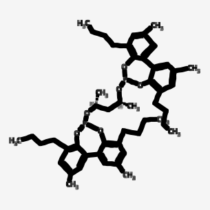 CCCCc1cc(C)cc2c1op(O[C@H](C)C[C@@H](C)Op1oc3c(CCCC)cc(C)cc3c3cc(C)cc(CCCC)c3o1)oc1c(CCCC)cc(C)cc12